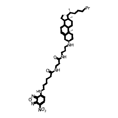 CC(C)CCC[C@@H](C)[C@H]1CCC2C3CC=C4C[C@@H](NCCCNC(=O)CCNC(=O)CCCCCNc5ccc([N+](=O)[O-])c6nonc56)CC[C@]4(C)C3CC[C@@]21C